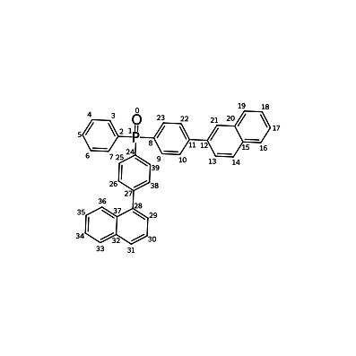 O=P(c1ccccc1)(c1ccc(-c2ccc3ccccc3c2)cc1)c1ccc(-c2cccc3ccccc23)cc1